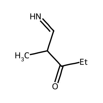 CCC(=O)C(C)C=N